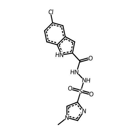 Cn1cnc(S(=O)(=O)NNC(=O)c2cc3cc(Cl)ccc3[nH]2)c1